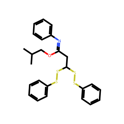 CC(C)CO/C(CC(SSc1ccccc1)SSc1ccccc1)=N\c1ccccc1